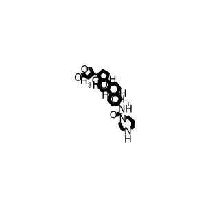 C[C@]12CC[C@H](NC(=O)N3CCCNCC3)C[C@H]1CC[C@@H]1[C@@H]2CC[C@]2(C)[C@@H](C3=CC(=O)OC3)CC[C@]12O